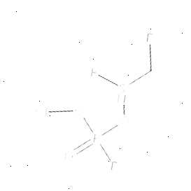 O=P(F)(OI)O[SiH](F)CF